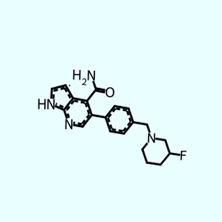 NC(=O)c1c(-c2ccc(CN3CCCC(F)C3)cc2)cnc2[nH]c[c]c12